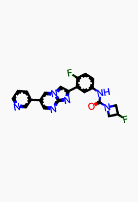 O=C(Nc1ccc(F)c(-c2cn3cc(-c4cccnc4)cnc3n2)c1)N1CC(F)C1